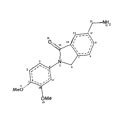 COc1ccc(N2Cc3ccc(CN)cc3C2=O)cc1OC